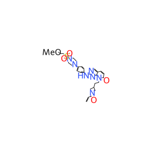 C=CC(=O)N1CC(CCn2c(=O)ccc3cnc(Nc4ccc(N5CCN(S(=O)(=O)CCOC)CC5)cc4)nc32)C1